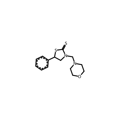 S=C1SC(c2ccccc2)CN1CN1CCOCC1